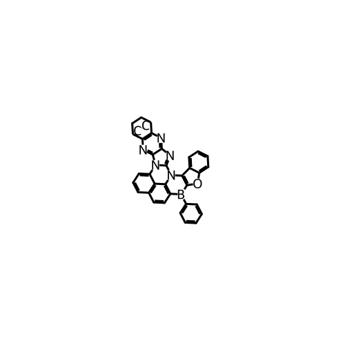 c1ccc(B2c3oc4ccccc4c3-n3c4c2ccc2cccc(c24)n2c4nc5c(nc4nc32)C2CCC5CC2)cc1